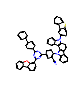 N#Cc1cc(-c2nc(-c3ccc(-c4ccccc4)cc3)nc(-c3cccc4c3oc3ccccc34)n2)ccc1-n1c2ccccc2c2ccc3c(c4ccccc4n3-c3ccc4sc5ccccc5c4c3)c21